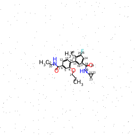 CCCOc1cc(C(=O)NCC)ccc1-c1cc(C(=O)NC2CC2)cc(F)c1C